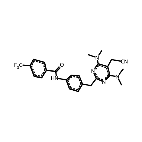 CN(C)c1nc(Cc2ccc(NC(=O)c3ccc(C(F)(F)F)cc3)cc2)nc(N(C)C)c1CC#N